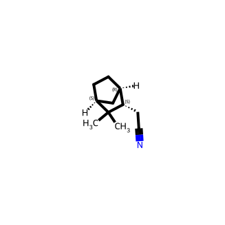 CC1(C)[C@H]2CC[C@H](C2)[C@@H]1CC#N